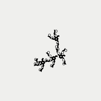 C=Cc1c(COCC2CO2)ccc(COCC2CO2)c1COCC1CO1.C=Cc1cc(COCC2CO2)c(COCC2CO2)c(COCC2CO2)c1.C=Cc1cc(COCC2CO2)cc(COCC2CO2)c1COCC1CO1.C=Cc1ccc(COCC2CO2)c(COCC2CO2)c1COCC1CO1